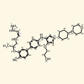 C[C@@H](CN/C=N\NN)Oc1cc(-c2cnc(Nc3cn([C@H]4CC[C@H](N5CCOCC5)CC4)nc3OCCO)nc2)ccc1C#N